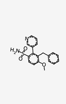 COc1ccc(S(N)(=O)=O)c(-c2cccnc2)c1Cc1ccccc1